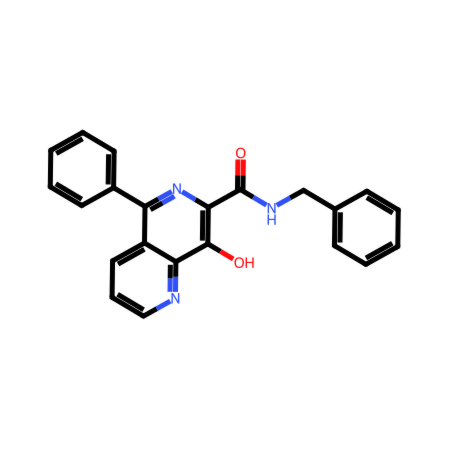 O=C(NCc1ccccc1)c1nc(-c2ccccc2)c2cccnc2c1O